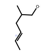 C/C=C/CC(C)C[O]